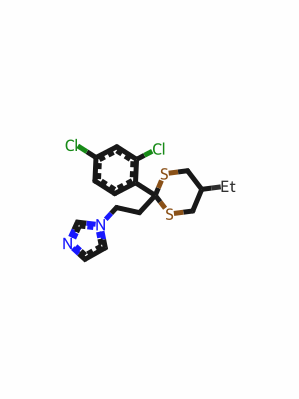 CCC1CSC(CCn2ccnc2)(c2ccc(Cl)cc2Cl)SC1